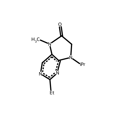 CCc1ncc2c(n1)N(C(C)C)CC(=O)N2C